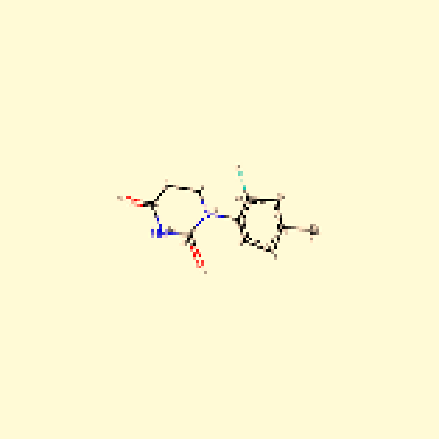 CCc1ccc(N2CCC(=O)NC2=O)c(F)c1